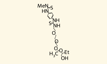 CCC(CO)OC(C)OCCOCCOCCNC(=S)Nc1ccc(NC(=S)NC)cc1